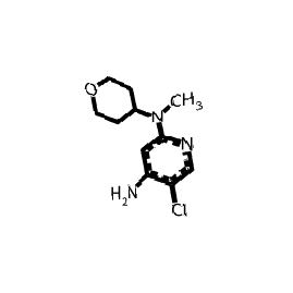 CN(c1cc(N)c(Cl)cn1)C1CCOCC1